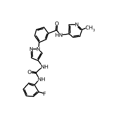 Cc1ccc(NC(=O)c2cccc(-n3cc(NC(=O)Nc4ccccc4F)cn3)c2)cn1